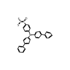 O=P(c1ccc(N(c2ccc(-c3ccccc3)cc2)c2ccc(-c3ccccc3)cc2)cc1)=S(=S)=S